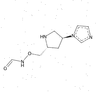 O=CNOC[C@H]1C[C@H](n2ccnc2)CN1